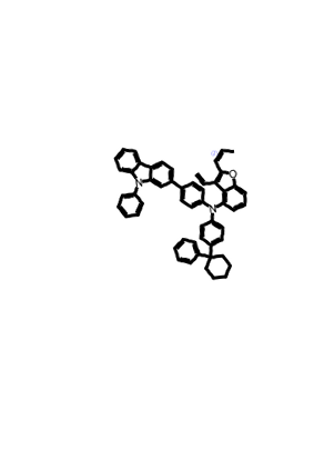 C=Cc1c(/C=C\C)oc2cccc(N(c3ccc(-c4ccc5c6ccccc6n(-c6ccccc6)c5c4)cc3)c3ccc(C4(c5ccccc5)CCCCC4)cc3)c12